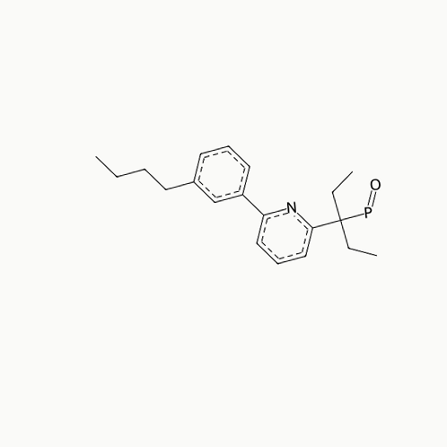 CCCCc1cccc(-c2cccc(C(CC)(CC)P=O)n2)c1